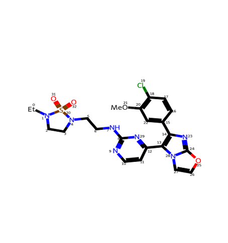 CCN1CCN(CCNc2nccc(-c3c(-c4ccc(Cl)c(OC)c4)nc4occn34)n2)S1(=O)=O